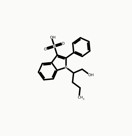 CCCC(CO)n1c(-c2ccccc2)c(S(=O)(=O)O)c2ccccc21